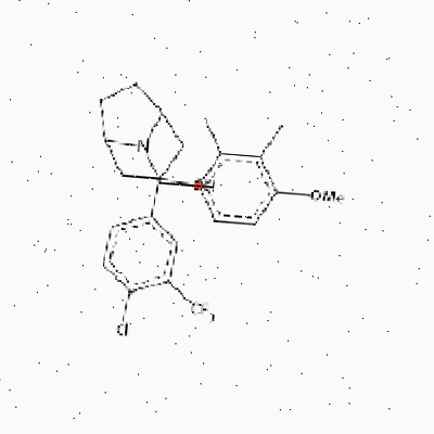 COc1ccc(CN2C3CCC2CC(O)(c2ccc(Cl)c(C(F)(F)F)c2)C3)c(C)c1C